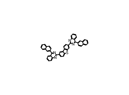 c1ccc2cc(-c3nc(-c4ccc5c(c4)sc4ccc(-c6nc(-c7ccc8ccccc8c7)c7ccccc7n6)cc45)nc4ccccc34)ccc2c1